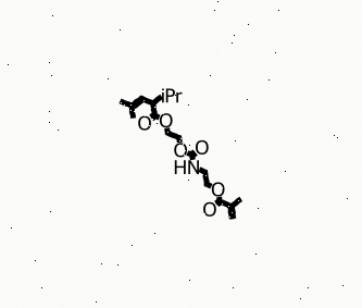 C=C(C)C(=O)OCCNC(=O)OCCOC(=O)C(C=C(C)C)C(C)C